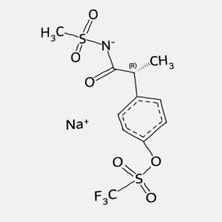 C[C@@H](C(=O)[N-]S(C)(=O)=O)c1ccc(OS(=O)(=O)C(F)(F)F)cc1.[Na+]